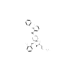 CSCCC1NC2(CCN(C(=O)c3cccnc3Oc3ccccc3)CC2)N(C(=O)c2ccccc2[N+](=O)[O-])C1=O